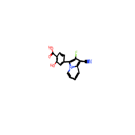 N#Cc1c(F)c(-c2ccc(C(=O)O)c(O)c2)n2ccccc12